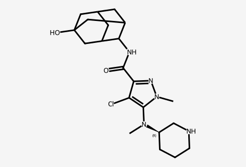 CN(c1c(Cl)c(C(=O)NC2C3CC4CC2CC(O)(C4)C3)nn1C)[C@@H]1CCCNC1